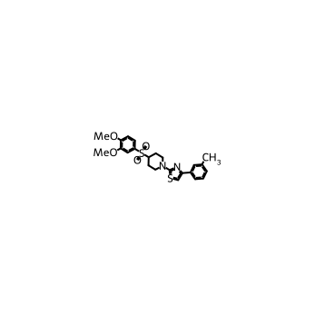 COc1ccc(S(=O)(=O)C2CCN(c3nc(-c4cccc(C)c4)cs3)CC2)cc1OC